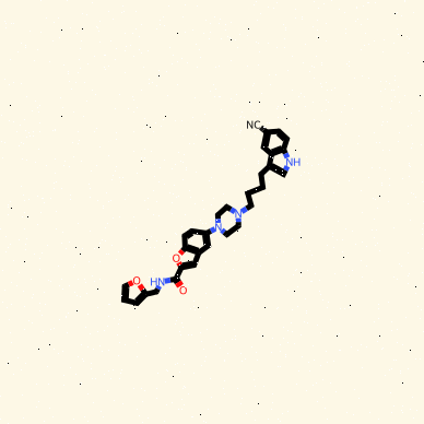 N#Cc1ccc2[nH]cc(CCCCN3CCN(c4ccc5oc(C(=O)NCc6ccco6)cc5c4)CC3)c2c1